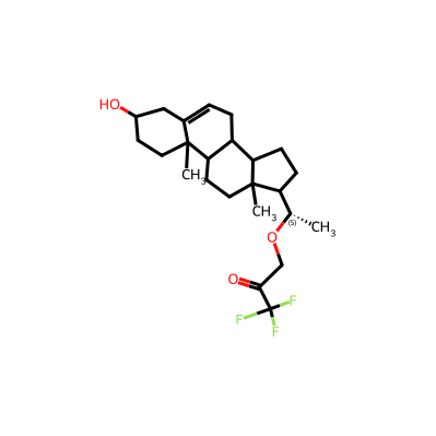 C[C@H](OCC(=O)C(F)(F)F)C1CCC2C3CC=C4CC(O)CCC4(C)C3CCC21C